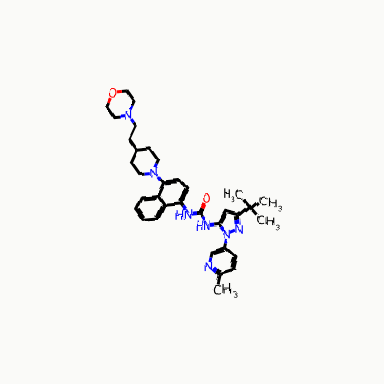 Cc1ccc(-n2nc(C(C)(C)C)cc2NC(=O)Nc2ccc(N3CCC(CCN4CCOCC4)CC3)c3ccccc23)cn1